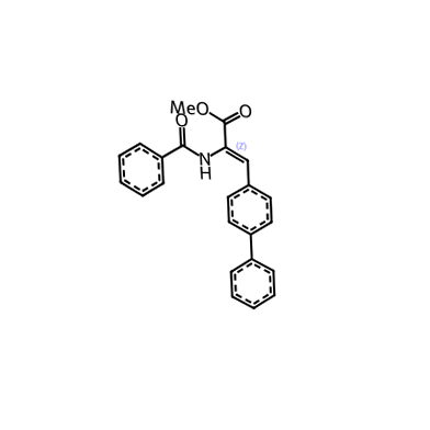 COC(=O)/C(=C/c1ccc(-c2ccccc2)cc1)NC(=O)c1ccccc1